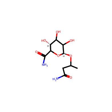 CC(CC(N)=O)O[C@H]1OC(C(N)=O)[C@H](O)C(O)C1O